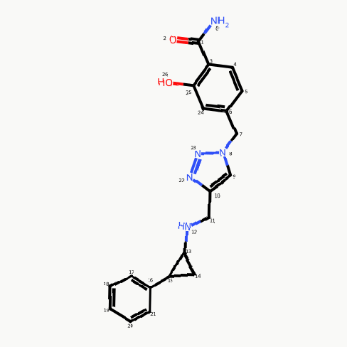 NC(=O)c1ccc(Cn2cc(CNC3CC3c3ccccc3)nn2)cc1O